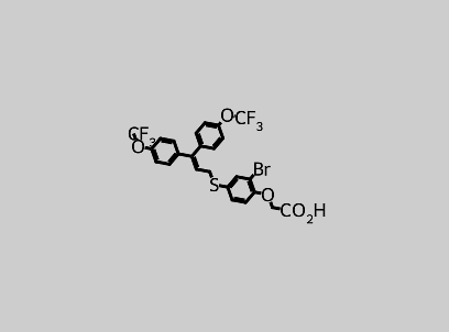 O=C(O)COc1ccc(SCC=C(c2ccc(OC(F)(F)F)cc2)c2ccc(OC(F)(F)F)cc2)cc1Br